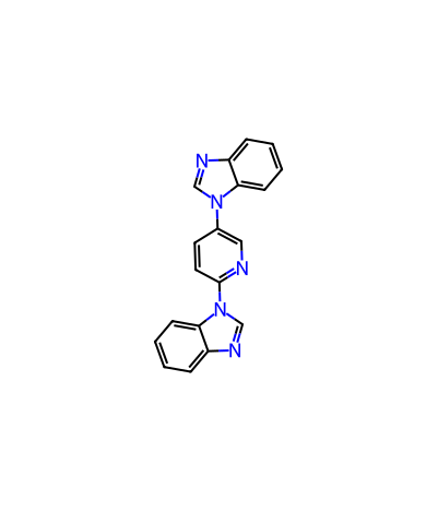 c1ccc2c(c1)ncn2-c1ccc(-n2cnc3ccccc32)nc1